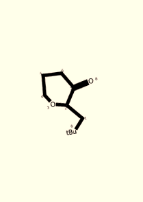 CC(C)(C)CC1OCCCC1=O